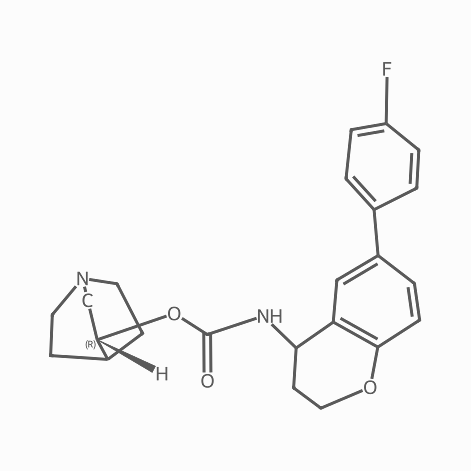 O=C(NC1CCOc2ccc(-c3ccc(F)cc3)cc21)O[C@H]1CN2CCC1CC2